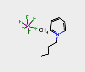 C.CCCC[n+]1ccccc1.F[P-](F)(F)(F)(F)F